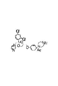 CC(=O)C1(N2CCNCC2)C=CC(OC[C@@H]2CO[C@@](Cn3ccnc3)(c3ccc(Cl)cc3Cl)O2)=CC1